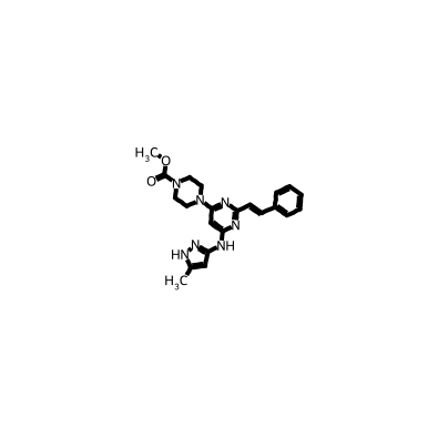 COC(=O)N1CCN(c2cc(Nc3cc(C)[nH]n3)nc(/C=C/c3ccccc3)n2)CC1